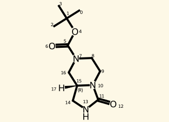 CC(C)(C)OC(=O)N1CCN2C(=O)NC[C@@H]2C1